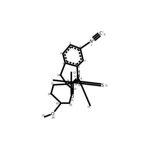 [C-]#[N+]c1ccc2c(c1)C1(NC(=S)N(C)C1=O)C1(CCC(OC)CC1)C2